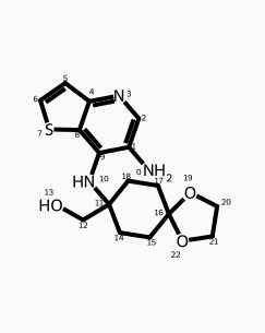 Nc1cnc2ccsc2c1NC1(CO)CCC2(CC1)OCCO2